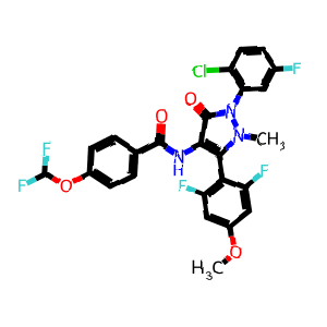 COc1cc(F)c(-c2c(NC(=O)c3ccc(OC(F)F)cc3)c(=O)n(-c3cc(F)ccc3Cl)n2C)c(F)c1